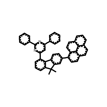 CC1(C)c2cc(-c3ccc4ccc5cccc6ccc3c4c56)ccc2-c2c(-c3cc(-c4ccccc4)nc(-c4ccccc4)n3)cccc21